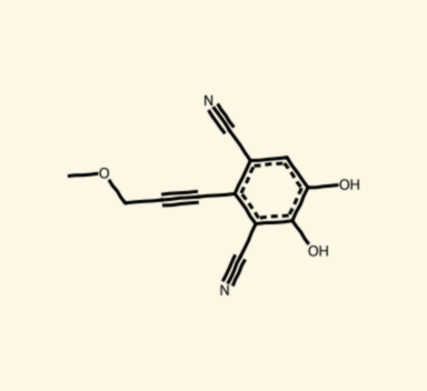 COCC#Cc1c(C#N)cc(O)c(O)c1C#N